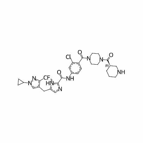 O=C(Nc1ccc(C(=O)N2CCN(C(=O)[C@@H]3CCCNC3)CC2)c(Cl)c1)c1ncc(Cc2cn(C3CC3)nc2C(F)(F)F)[nH]1